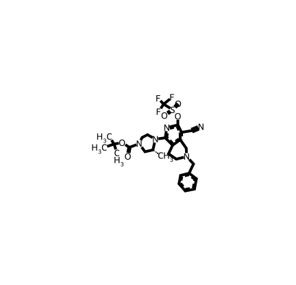 C[C@@H]1CN(C(=O)OC(C)(C)C)CCN1c1nc(OS(=O)(=O)C(F)(F)F)c(C#N)c2c1CCN(Cc1ccccc1)C2